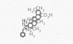 CC1(C)CC[C@]2(C(=O)O)CC[C@]3(C)C(=CCC4[C@@]5(C)Cc6c(nn(Cc7ccccc7)c6N)C(C)(C)C5CC[C@]43C)C2C1